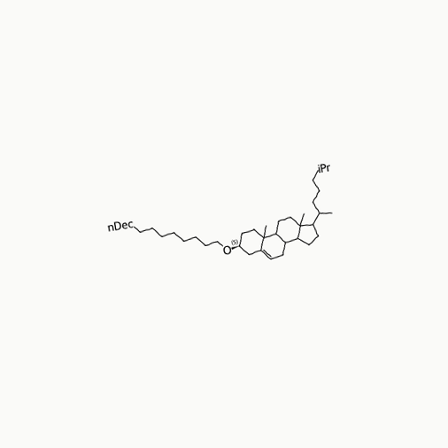 CCCCCCCCCCCCCCCCCCO[C@H]1CCC2(C)C(=CCC3C2CCC2(C)C(C(C)CCCC(C)C)CCC32)C1